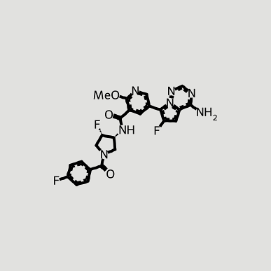 COc1ncc(-c2c(F)cc3c(N)ncnn23)cc1C(=O)N[C@@H]1CN(C(=O)c2ccc(F)cc2)C[C@@H]1F